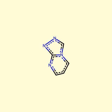 c1cnc2nncn2c1